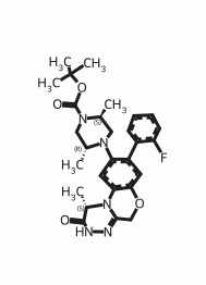 C[C@@H]1CN(C(=O)OC(C)(C)C)[C@@H](C)CN1c1cc2c(cc1-c1ccccc1F)OCC1=NNC(=O)[C@H](C)N12